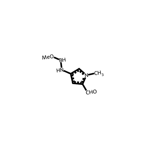 COBNc1cc(C=O)n(C)c1